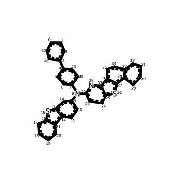 c1ccc(-c2ccc(N(c3ccc4c(c3)sc3ccccc34)c3ccc4sc5c6ccccc6ccc5c4n3)cc2)cc1